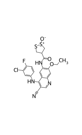 CCOc1cc2ncc(C#N)c(Nc3ccc(F)c(Cl)c3)c2cc1NC(=O)C1CS[S+]([O-])C1